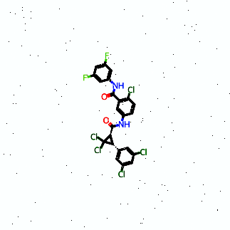 O=C(Nc1cc(F)cc(F)c1)c1cc(NC(=O)[C@H]2[C@H](c3cc(Cl)cc(Cl)c3)C2(Cl)Cl)ccc1Cl